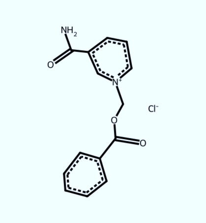 NC(=O)c1ccc[n+](COC(=O)c2ccccc2)c1.[Cl-]